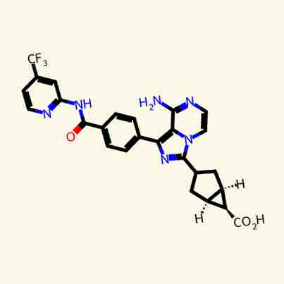 Nc1nccn2c(C3C[C@@H]4[C@H](C3)[C@@H]4C(=O)O)nc(-c3ccc(C(=O)Nc4cc(C(F)(F)F)ccn4)cc3)c12